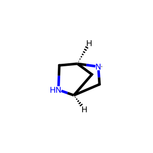 C1N[C@@H]2C[N][C@H]1C2